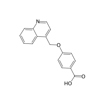 O=C(O)c1ccc(OCc2ccnc3ccccc23)cc1